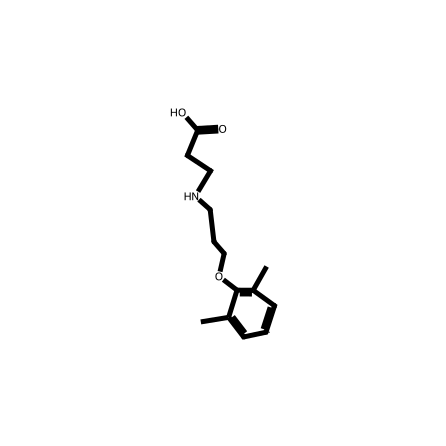 Cc1c[c]cc(C)c1OCCCNCCC(=O)O